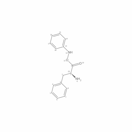 N[C@@H](Cc1ccccc1)C(=O)ONc1ccccc1